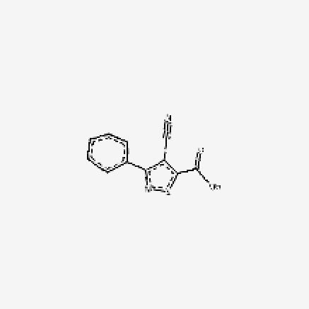 N#Cc1c(-c2ccccc2)nsc1C(=O)O